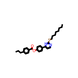 CCCCCCCCSc1nccc(-c2ccc(OC(=O)c3ccc(CCC)cc3)cc2)n1